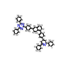 c1ccc(-c2cc(-c3ccc(-c4cccc5cc(-c6ccc(-c7nc(-c8ccccc8)nc(-c8ccccc8)n7)cc6)ccc45)cc3)cc(-c3ccccc3)n2)cc1